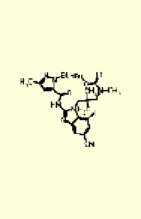 CCn1nc(C)cc1C(=O)Nc1nc2cc(C#N)cc(I)c2n1CC(C)(C)CN(C)C(=O)OC(C)(C)C